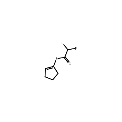 O=C(SC1=CCCC1)C(F)F